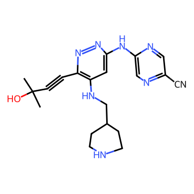 CC(C)(O)C#Cc1nnc(Nc2cnc(C#N)cn2)cc1NCC1CCNCC1